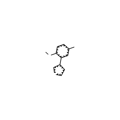 COc1ccc(C)cc1-c1ccoc1